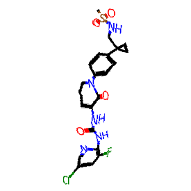 CS(=O)(=O)NCC1(c2ccc(N3CCC[C@H](NC(=O)Nc4ncc(Cl)cc4F)C3=O)cc2)CC1